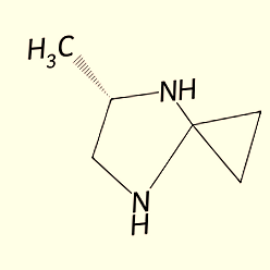 C[C@H]1CNC2(CC2)N1